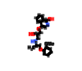 COc1ccccc1OC[C@@H](C)NC[C@H](O)COc1cnc(O)c2ccccc12